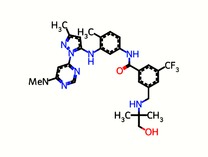 CNc1cc(-n2nc(C)cc2Nc2cc(NC(=O)c3cc(CNC(C)(C)CO)cc(C(F)(F)F)c3)ccc2C)ncn1